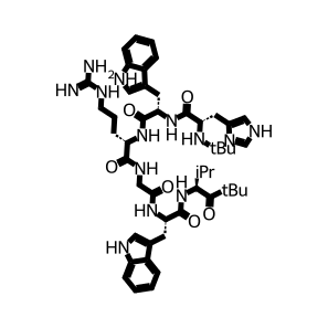 CC(C)[C@H](NC(=O)[C@H](Cc1c[nH]c2ccccc12)NC(=O)CNC(=O)[C@H](CCCNC(=N)N)NC(=O)[C@H](Cc1c[nH]c2ccccc12)NC(=O)[C@H](Cc1c[nH]cn1)NC(C)(C)C)C(=O)C(C)(C)C